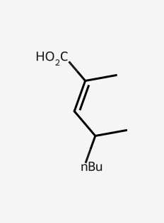 CCCCC(C)C=C(C)C(=O)O